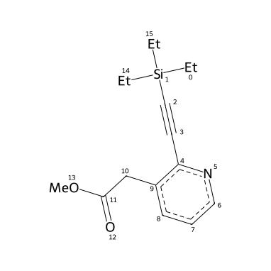 CC[Si](C#Cc1ncccc1CC(=O)OC)(CC)CC